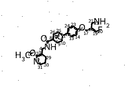 COC1=C(CNC(=O)C23CCC(c4ccc(OC/C(=C/F)CN)cc4)(CC2)CC3)CCC=N1